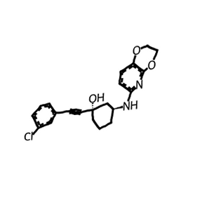 O[C@@]1(C#Cc2cccc(Cl)c2)CCC[C@H](Nc2ccc3c(n2)OCCO3)C1